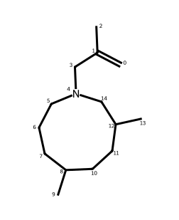 C=C(C)CN1CCCC(C)CCC(C)C1